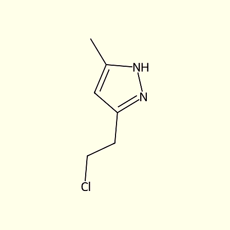 Cc1cc(CCCl)n[nH]1